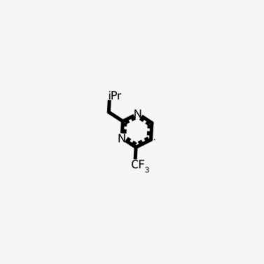 CC(C)Cc1nc[c]c(C(F)(F)F)n1